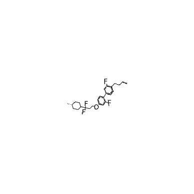 C=CCCc1ccc(-c2ccc(OCCC(F)(F)C3CCC(C)CC3)cc2F)cc1F